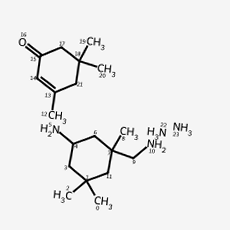 CC1(C)CC(N)CC(C)(CN)C1.CC1=CC(=O)CC(C)(C)C1.N.N